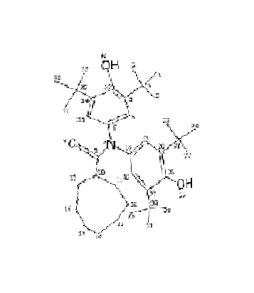 CC(C)(C)c1cc(N(C(=O)C2CCCCCCC2)c2cc(C(C)(C)C)c(O)c(C(C)(C)C)c2)cc(C(C)(C)C)c1O